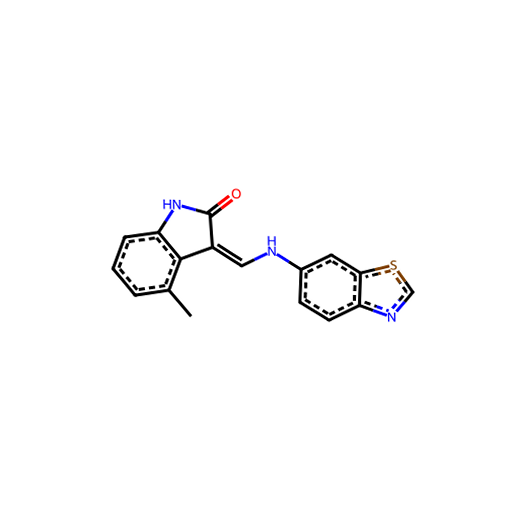 Cc1cccc2c1C(=CNc1ccc3ncsc3c1)C(=O)N2